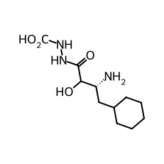 N[C@H](CC1CCCCC1)C(O)C(=O)NNC(=O)O